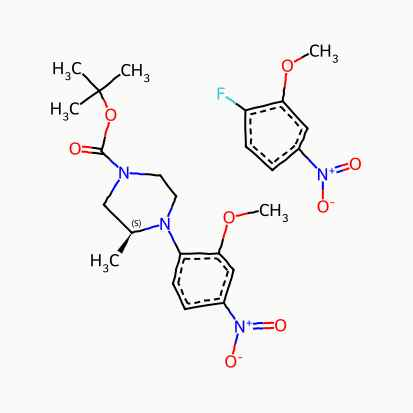 COc1cc([N+](=O)[O-])ccc1F.COc1cc([N+](=O)[O-])ccc1N1CCN(C(=O)OC(C)(C)C)C[C@@H]1C